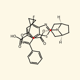 O=C(O)c1cc(F)c2nc(N3[C@@H]4CC[C@H]3C[C@H](OC(=O)c3c(-c5ccccc5)noc3C3CC3)C4)sc2c1